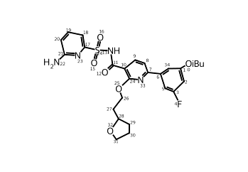 CC(C)COc1cc(F)cc(-c2ccc(C(=O)NS(=O)(=O)c3cccc(N)n3)c(OCCC3CCCO3)n2)c1